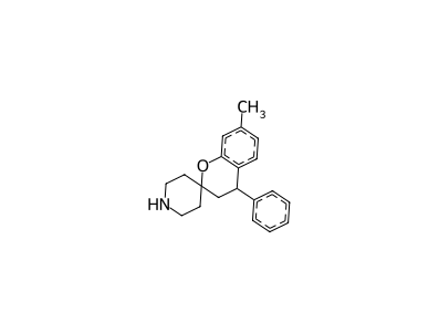 Cc1ccc2c(c1)OC1(CCNCC1)CC2c1ccccc1